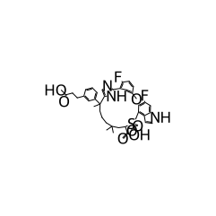 CC1(C)CCCC(C)(c2cccc(CCC(=O)O)c2)c2cnc([nH]2)-c2cc(ccc2F)Oc2c(F)cc3[nH]ccc3c2CS(=O)(=O)C(C(=O)O)C1